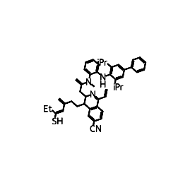 C=CC1=NC(CC(=C)N(C)c2ccccc2Nc2c(C(C)C)cc(-c3ccccc3)cc2C(C)C)C(CCC(=C)/C=C(/S)CC)c2cc(C#N)ccc21